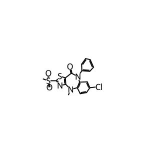 CN1c2ccc(Cl)cc2N(c2ccccc2)C(=O)c2sc(S(C)(=O)=O)nc21